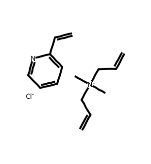 C=CC[N+](C)(C)CC=C.C=Cc1ccccn1.[Cl-]